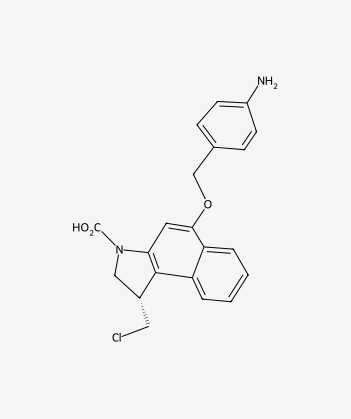 Nc1ccc(COc2cc3c(c4ccccc24)[C@H](CCl)CN3C(=O)O)cc1